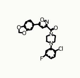 O=C(c1cc(-c2ccc3c(c2)OCO3)on1)N1CCN(c2cc(F)ccc2Cl)CC1